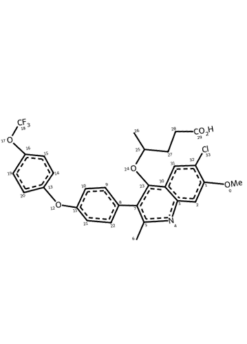 COc1cc2nc(C)c(-c3ccc(Oc4ccc(OC(F)(F)F)cc4)cc3)c(OC(C)CCC(=O)O)c2cc1Cl